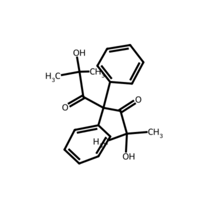 CC(C)(O)C(=O)C(C(=O)C(C)(C)O)(c1ccccc1)c1ccccc1